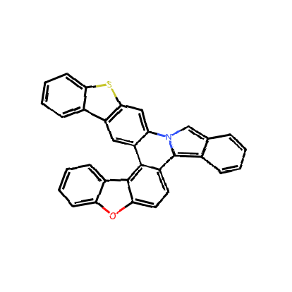 c1ccc2c(c1)cn1c3cc4sc5ccccc5c4cc3c3c(ccc4oc5ccccc5c43)c21